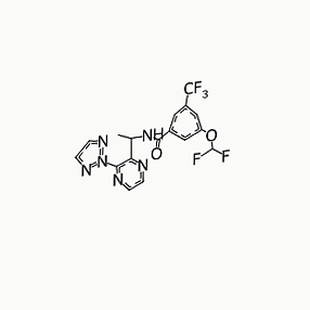 CC(NC(=O)c1cc(OC(F)F)cc(C(F)(F)F)c1)c1nccnc1-n1nccn1